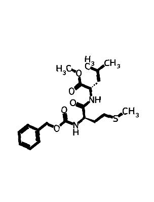 COC(=O)[C@H](CC(C)C)NC(=O)[C@@H](CCSC)NC(=O)OCc1ccccc1